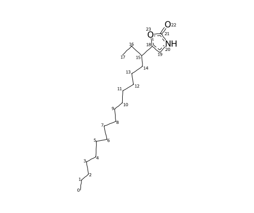 CCCCCCCCCCCCCCCC(CC)c1c[nH]c(=O)o1